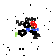 CCC1(CC)CC2(CN(c3ccc(F)cc3)c3cc(C(F)(F)F)c(OC)cc3S(=O)(=O)N2)C1